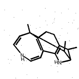 CC1C2=C3NC1C(C)C1(C)/C=C\N/C=C\C3=C1CC2